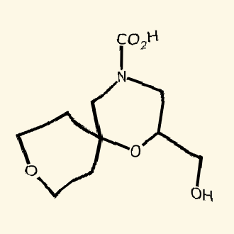 O=C(O)N1CC(CO)OC2(CCOCC2)C1